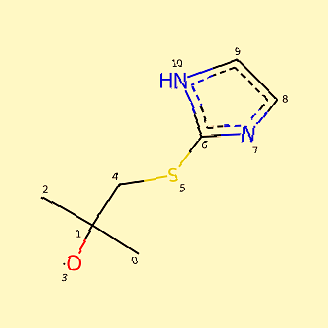 CC(C)([O])CSc1ncc[nH]1